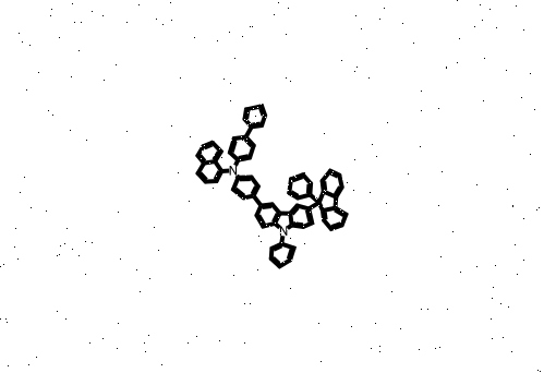 c1ccc(-c2ccc(N(c3ccc(-c4ccc5c(c4)c4cc(C6(c7ccccc7)c7ccccc7-c7ccccc76)ccc4n5-c4ccccc4)cc3)c3cccc4ccccc34)cc2)cc1